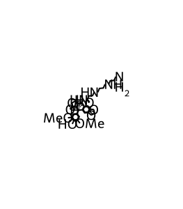 COc1cc(C2c3cc4c(cc3[C@@H](NC(=O)CCNCCCCNCCCN)[C@H]3COC(=O)[C@H]23)OCO4)cc(OC)c1O